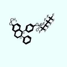 COc1ccc2c(c1)CC[C@H](c1ccccc1)[C@@H]2c1ccc(OS(=O)(=O)C(F)(F)C(F)(F)C(F)(F)C(F)(F)F)cc1